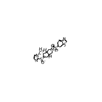 Cn1ccnc1[S+]([O-])[C@H]1C[C@@H]2CN(S(=O)(=O)c3ccc4ncsc4c3)C[C@@H]2C1